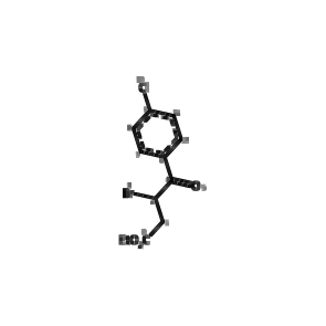 CCOC(=O)CC(Br)C(=O)c1ccc(Cl)cc1